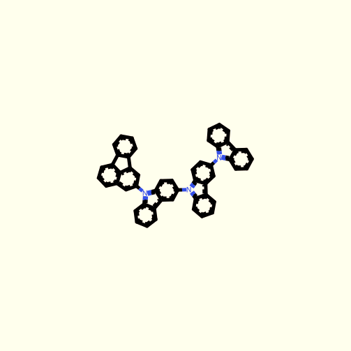 c1ccc2c(c1)-c1cccc3cc(-n4c5ccccc5c5cc(-n6c7ccccc7c7cc(-n8c9ccccc9c9ccccc98)ccc76)ccc54)cc-2c13